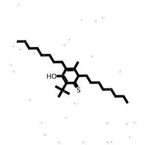 CCCCCCCCC1=C(C)C(CCCCCCCC)C(=S)C(C(C)(C)C)=C1O